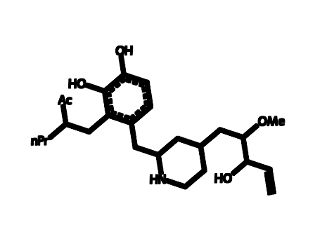 C=CC(O)C(CC1CCNC(Cc2ccc(O)c(O)c2CC(CCC)C(C)=O)C1)OC